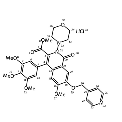 COC(=O)c1c(-c2cc(OC)c(OC)c(OC)c2)c2cc(OC)c(OCc3ccncc3)cc2c(=O)n1N1CCOCC1.Cl